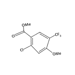 COC(=O)c1cc(C(F)(F)F)c(OC)cc1Cl